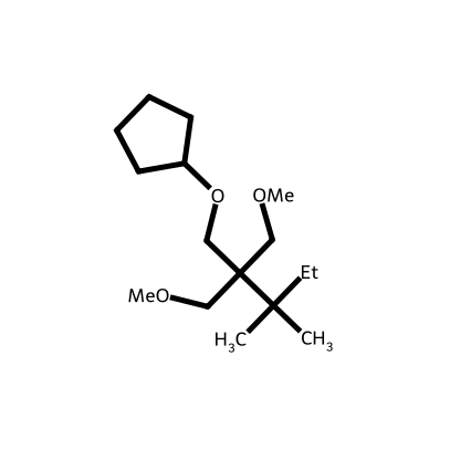 CCC(C)(C)C(COC)(COC)COC1CCCC1